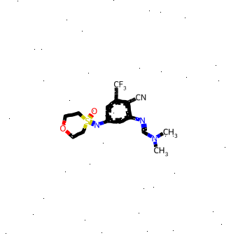 CN(C)/C=N/c1cc(N=S2(=O)CCOCC2)cc(C(F)(F)F)c1C#N